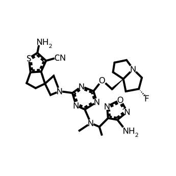 CC(c1nonc1N)N(C)c1nc(OC[C@@]23CCCN2C[C@H](F)C3)nc(N2CC3(CCc4sc(N)c(C#N)c43)C2)n1